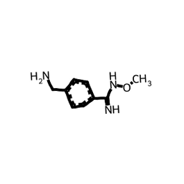 CONC(=N)c1ccc(CN)cc1